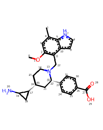 COc1cc(C)c2[nH]ccc2c1CN1CC[C@@H](C2CC2N)C[C@H]1c1ccc(C(=O)O)cc1